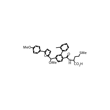 COc1ccc(-c2ccc(C(OC)c3ccc(C(=O)NC(CCSC)C(=O)O)c(-c4ccccc4C)c3)o2)cc1